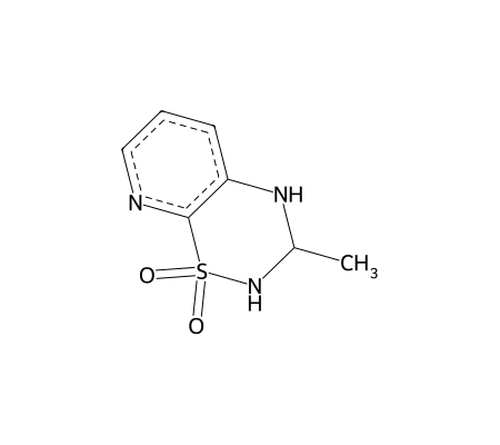 CC1Nc2cccnc2S(=O)(=O)N1